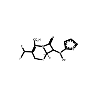 CC(=O)N(c1cccs1)C1C(=O)N2C(C(=O)O)=C(C(F)F)CS[C@H]12